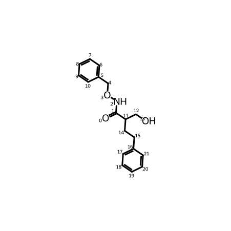 O=C(NOCc1ccccc1)C(CO)CCc1ccccc1